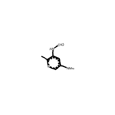 CNc1cnc(C)c(NC=O)c1